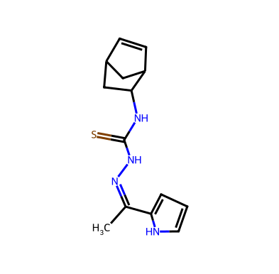 CC(=NNC(=S)NC1CC2C=CC1C2)c1ccc[nH]1